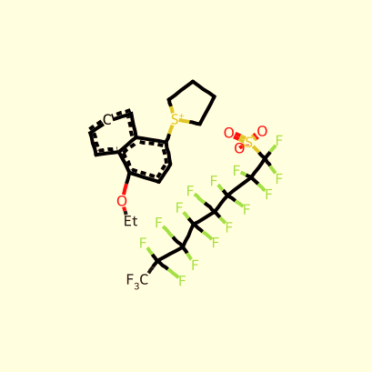 CCOc1ccc([S+]2CCCC2)c2ccccc12.O=S(=O)([O-])C(F)(F)C(F)(F)C(F)(F)C(F)(F)C(F)(F)C(F)(F)C(F)(F)C(F)(F)F